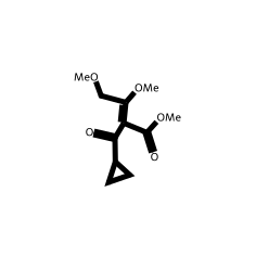 COCC(OC)=C(C(=O)OC)C(=O)C1CC1